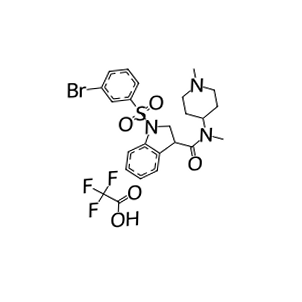 CN1CCC(N(C)C(=O)C2CN(S(=O)(=O)c3cccc(Br)c3)c3ccccc32)CC1.O=C(O)C(F)(F)F